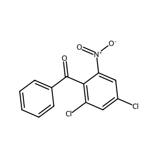 O=C(c1ccccc1)c1c(Cl)cc(Cl)cc1[N+](=O)[O-]